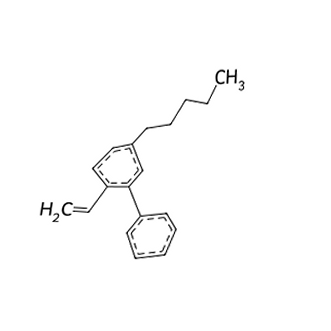 C=Cc1ccc(CCCCC)cc1-c1ccccc1